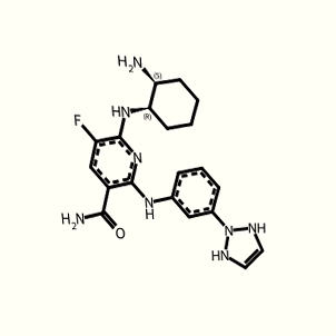 NC(=O)c1cc(F)c(N[C@@H]2CCCC[C@@H]2N)nc1Nc1cccc(N2NC=CN2)c1